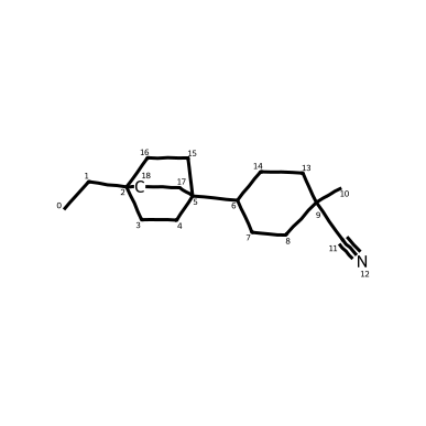 CCC12CCC(C3CCC(C)(C#N)CC3)(CC1)CC2